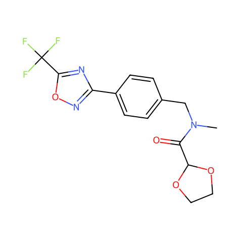 CN(Cc1ccc(-c2noc(C(F)(F)F)n2)cc1)C(=O)C1OCCO1